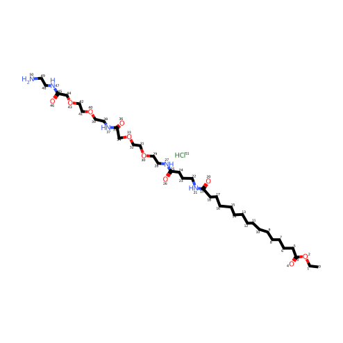 CCOC(=O)CCCCCCCCCCCCCCC(=O)NCCCC(=O)NCCOCCOCC(=O)NCCOCCOCC(=O)NCCN.Cl